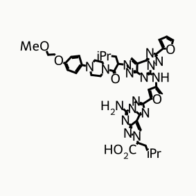 COCCOc1ccc(N2CCN(C(=O)C(CC(C)C)n3cc4c(nc(Nc5coc(-c6nc7c8cn(C(CC(C)C)C(=O)O)nc8nc(N)n7n6)c5)n5nc(-c6ccco6)nc45)n3)CC2)cc1